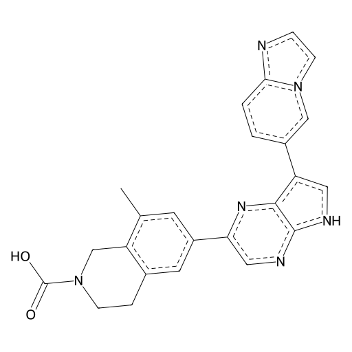 Cc1cc(-c2cnc3[nH]cc(-c4ccc5nccn5c4)c3n2)cc2c1CN(C(=O)O)CC2